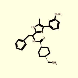 CC(=O)Nc1cccc(-c2nc(C(Cc3ccccc3)NC(=O)[C@H]3CC[C@H](CN)CC3)[nH]c2C)c1